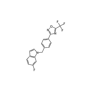 Fc1ccc2ccn(Cc3ccc(-c4noc(C(F)(F)F)n4)cc3)c2c1